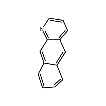 [c]1ccc2cc3ccccc3cc2n1